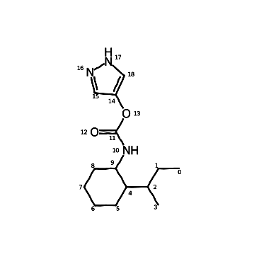 CCC(C)C1CCCCC1NC(=O)Oc1cn[nH]c1